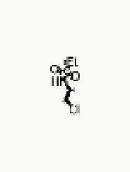 CCS(=O)(=O)NCCCl